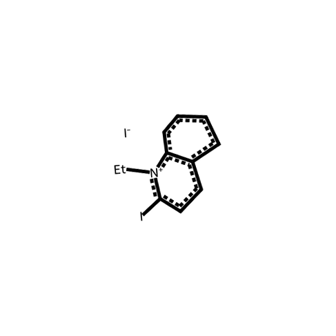 CC[n+]1c(I)ccc2ccccc21.[I-]